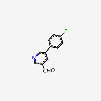 O=Cc1cncc(-c2ccc(F)cc2)c1